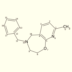 Cc1ccc2c(n1)OCCN(Cc1ccccc1)C2